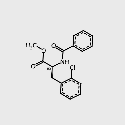 COC(=O)[C@H](Cc1ccccc1Cl)NC(=O)c1ccccc1